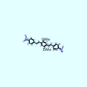 COc1cc(/C=C/c2ccc(N(C)C)cc2)c(OC)cc1/C=C/c1ccc(N(C)C)cc1